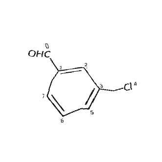 O=Cc1[c]c(Cl)ccc1